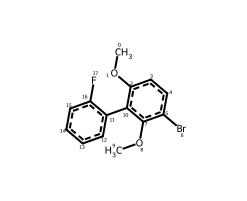 COc1ccc(Br)c(OC)c1-c1ccccc1F